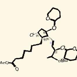 CCCCC(C)[C@@H](/C=C/[C@@H]1[C@@H](CCCCCCC(=O)OC)[C@H](Cl)C[C@H]1OC1CCCCO1)OC1CCCCO1